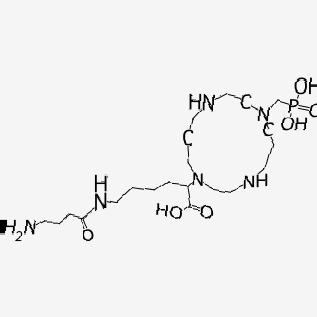 NCCCC(=O)NCCCCC(C(=O)O)N1CCCNCCN(CP(=O)(O)O)CCCNCC1